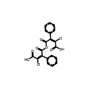 O=C(O)/C(Cl)=C(\C(=O)OC(=O)/C(=C(/Cl)C(=O)O)c1ccccc1)c1ccccc1